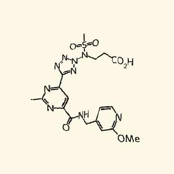 COc1cc(CNC(=O)c2cc(-c3nnn(N(CCC(=O)O)S(C)(=O)=O)n3)nc(C)n2)ccn1